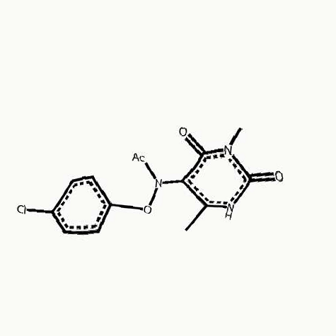 CC(=O)N(Oc1ccc(Cl)cc1)c1c(C)[nH]c(=O)n(C)c1=O